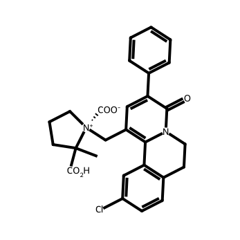 CC1(C(=O)O)CCC[N@+]1(Cc1cc(-c2ccccc2)c(=O)n2c1-c1cc(Cl)ccc1CC2)C(=O)[O-]